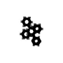 O=C(c1ccccc1)c1ccccc1P(C1CCCCC1)C1CCCCC1